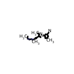 C=C/C=C\C=C(/C)C#Cc1cn(-c2cc(C)cc(C#N)c2)nc1C